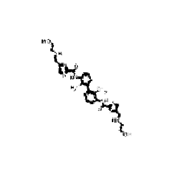 Cc1c(NC(=O)c2ncc(CNCCO)s2)cccc1-c1cccc(NC(=O)c2ncc(CNCCO)s2)c1C